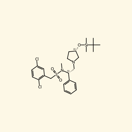 CN([C@H](CN1CC[C@H](O[Si](C)(C)C(C)(C)C)C1)c1ccccc1)S(=O)(=O)Cc1cc(Cl)ccc1Cl